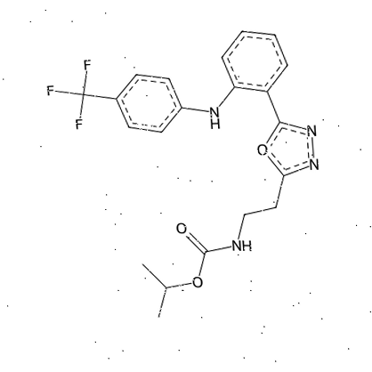 CC(C)OC(=O)NCCc1nnc(-c2ccccc2Nc2ccc(C(F)(F)F)cc2)o1